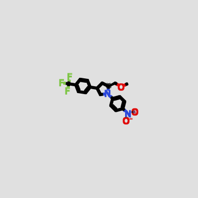 COC[C@@H]1CC(c2ccc(C(F)(F)F)cc2)CN1c1ccc([N+](=O)[O-])cc1